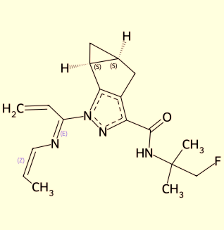 C=C/C(=N\C=C/C)n1nc(C(=O)NC(C)(C)CF)c2c1[C@H]1C[C@H]1C2